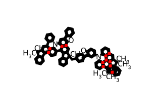 CC1(C)c2ccccc2-c2cc(-c3ccccc3N(c3ccc4oc5cc(CC6(C)c7ccccc7-c7c(-c8ccccc8N(c8ccc9oc%10ccccc%10c9c8)c8ccccc8-c8ccc9c(c8)C(C)(C)c8ccccc8-9)cccc76)ccc5c4c3)c3ccccc3-c3cccc4c3-c3ccccc3C4(C)C)ccc21